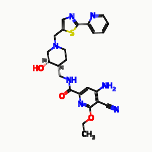 CCOc1nc(C(=O)NC[C@H]2CCN(Cc3cnc(-c4ccccn4)s3)C[C@H]2O)cc(N)c1C#N